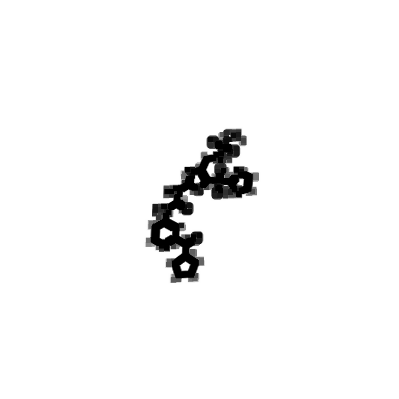 CS(=O)(=O)NCc1nc(NC(=O)Nc2ccnc(C(=O)C3CCCC3)c2)sc1S(=O)(=O)c1ncc[nH]1